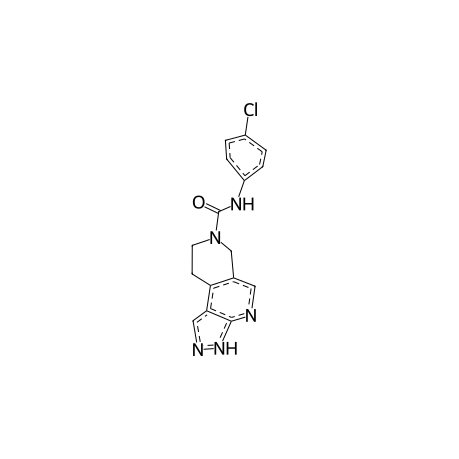 O=C(Nc1ccc(Cl)cc1)N1CCc2c(cnc3[nH]ncc23)C1